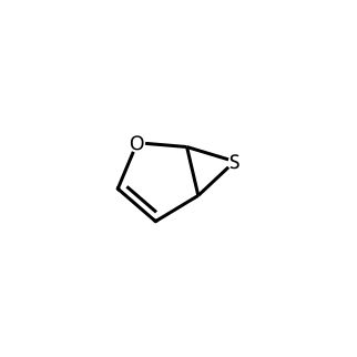 C1=CC2SC2O1